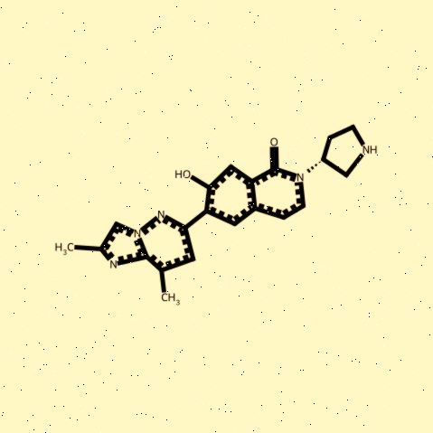 Cc1cn2nc(-c3cc4ccn([C@@H]5CCNC5)c(=O)c4cc3O)cc(C)c2n1